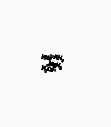 [AlH3].[CaH2].[MgH2].[NaH]